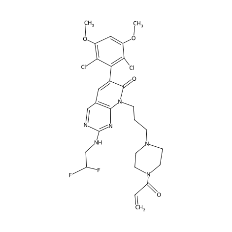 C=CC(=O)N1CCN(CCCn2c(=O)c(-c3c(Cl)c(OC)cc(OC)c3Cl)cc3cnc(NCC(F)F)nc32)CC1